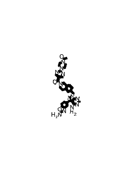 CC(=O)N1CCN(c2ncc(C(=O)N3CCc4cc(Cn5nc(-c6ccc7oc(N)nc7c6)c6c(N)ncnc65)ccc4C3)cn2)CC1